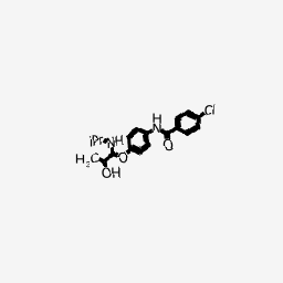 CC(C)NC(Oc1ccc(NC(=O)c2ccc(Cl)cc2)cc1)C(C)O